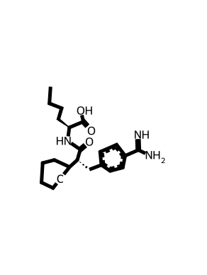 CCCC[C@H](NC(=O)[C@H](Cc1ccc(C(=N)N)cc1)C1CCCCC1)C(=O)O